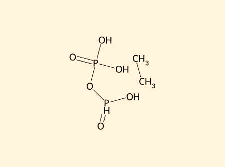 CC.O=[PH](O)OP(=O)(O)O